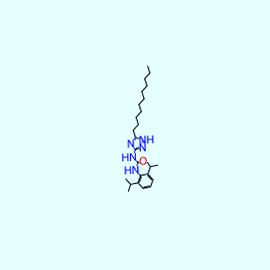 CCCCCCCCCCCc1nc(NC(=O)Nc2c(C(C)C)cccc2C(C)C)n[nH]1